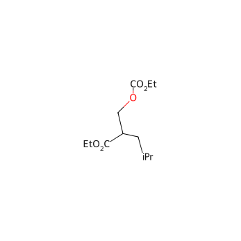 CCOC(=O)OCC(CC(C)C)C(=O)OCC